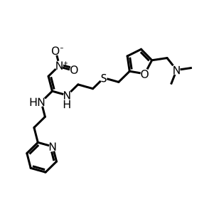 CN(C)Cc1ccc(CSCCNC(=C[N+](=O)[O-])NCCc2ccccn2)o1